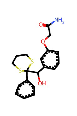 NC(=O)COc1cccc(C(O)C2(c3ccccc3)SCCCS2)c1